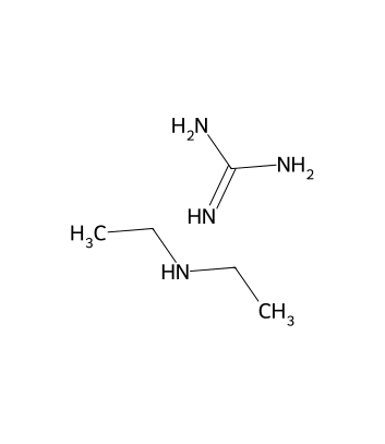 CCNCC.N=C(N)N